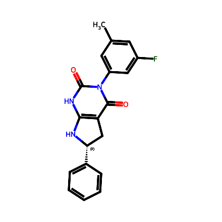 Cc1cc(F)cc(-n2c(=O)[nH]c3c(c2=O)C[C@H](c2ccccc2)N3)c1